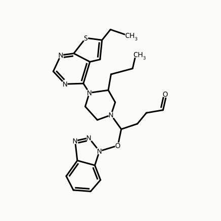 CCCC1CN(C(CCC=O)On2nnc3ccccc32)CCN1c1ncnc2sc(CC)cc12